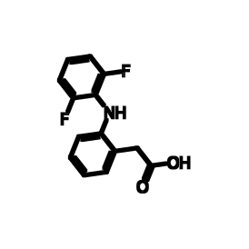 O=C(O)Cc1ccccc1Nc1c(F)cccc1F